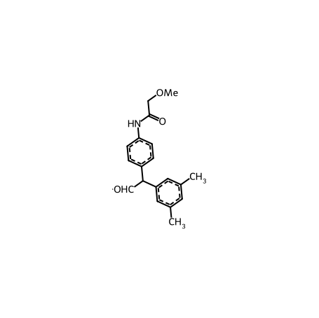 COCC(=O)Nc1ccc(C([C]=O)c2cc(C)cc(C)c2)cc1